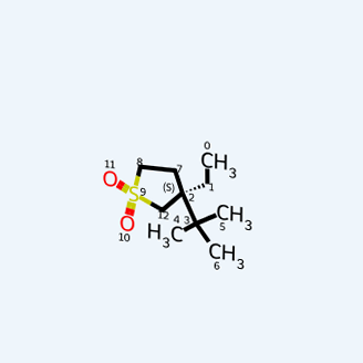 CC[C@@]1(C(C)(C)C)CCS(=O)(=O)C1